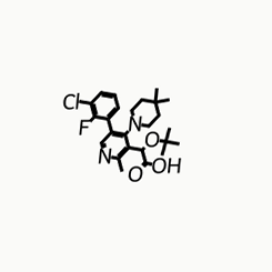 Cc1ncc(-c2cccc(Cl)c2F)c(N2CCC(C)(C)CC2)c1C(OC(C)(C)C)C(=O)O